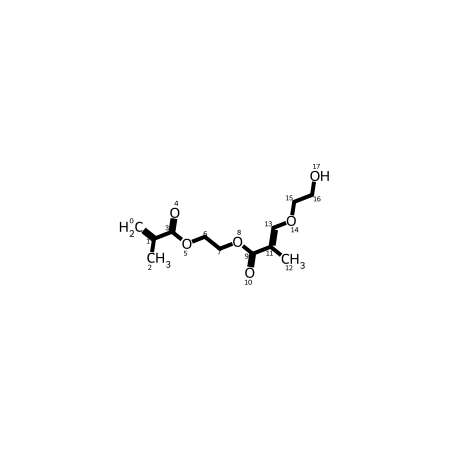 C=C(C)C(=O)OCCOC(=O)C(C)=COCCO